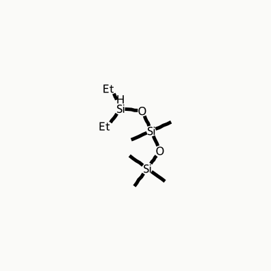 CC[SiH](CC)O[Si](C)(C)O[Si](C)(C)C